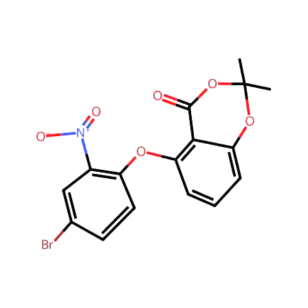 CC1(C)OC(=O)c2c(Oc3ccc(Br)cc3[N+](=O)[O-])cccc2O1